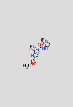 CCOc1nc(C(=O)Nc2cccnc2OC(C)C)cn2cc(C34COC(C)(C3)C4)nc12